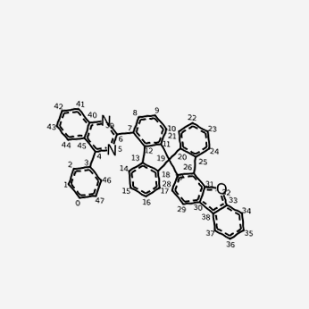 c1ccc(-c2nc(-c3cccc4c3-c3ccccc3C43c4ccccc4-c4c3ccc3c4oc4ccccc43)nc3ccccc23)cc1